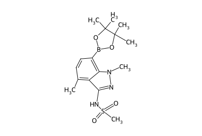 Cc1ccc(B2OC(C)(C)C(C)(C)O2)c2c1c(NS(C)(=O)=O)nn2C